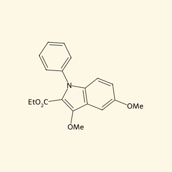 CCOC(=O)c1c(OC)c2cc(OC)ccc2n1-c1ccccc1